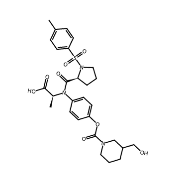 Cc1ccc(S(=O)(=O)N2CCC[C@H]2C(=O)N(c2ccc(OC(=O)N3CCCC(CO)C3)cc2)[C@@H](C)C(=O)O)cc1